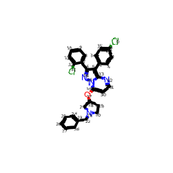 Clc1ccc(-c2c(-c3ccccc3Cl)nn3c(OC4CCN(Cc5ccccc5)C4)ccnc23)cc1